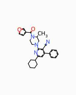 CC1CN(c2nc(C3CCCCC3)cc(-c3ccccc3)c2C#N)CCN1C(=O)c1ccoc1